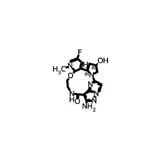 CN1C=C(F)C=C2C1OCCNC(=O)c1c(N)nn3ccc(nc13)N1C[C@H](O)C[C@H]21